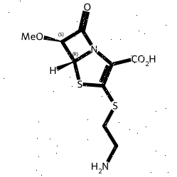 CO[C@H]1C(=O)N2C(C(=O)O)=C(SCCN)S[C@H]12